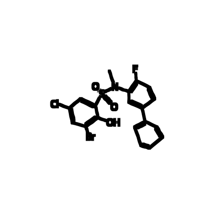 CN(c1cc(-c2ccccc2)ccc1F)S(=O)(=O)c1cc(Cl)cc(Br)c1O